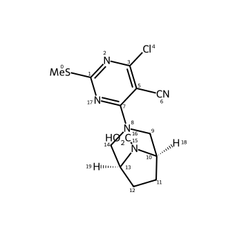 CSc1nc(Cl)c(C#N)c(N2C[C@H]3CC[C@@H](C2)N3C(=O)O)n1